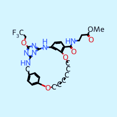 COC(=O)CCNC(=O)c1ccc2cc1OCCCCCCOc1ccc(cc1)CNc1nc(nc(OCC(F)(F)F)n1)N2